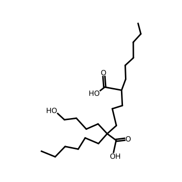 CCCCCCC(CCCC(CCCCO)(CCCCCC)C(=O)O)C(=O)O